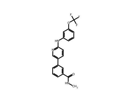 CNC(=O)c1cccc(-c2ccc(Nc3cccc(OC(F)(F)F)c3)nc2)c1